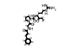 N=C(N)NCCC[C@H](NC(=O)[C@@H]1CCCN1C(=O)CNC(=O)/C=C/c1ccccc1)C(=O)CF